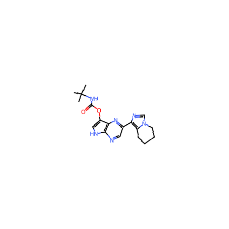 CC(C)(C)NC(=O)Oc1c[nH]c2ncc(-c3ncn4c3CCCC4)nc12